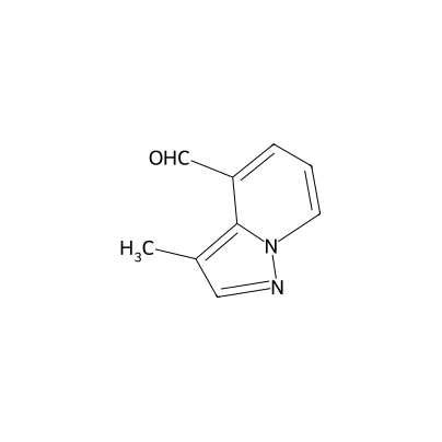 Cc1cnn2cccc(C=O)c12